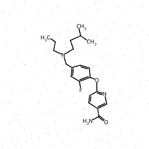 CCCN(CCC(C)C)Cc1ccc(Oc2ccc(C(N)=O)cn2)c(F)c1